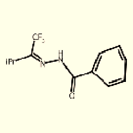 CC(C)C(=NNC(=O)c1ccccc1)C(F)(F)F